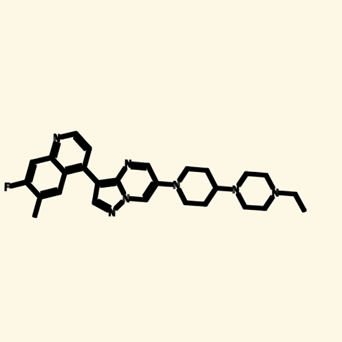 CCN1CCN(C2CCN(c3cnc4c(-c5ccnc6cc(F)c(C)cc56)cnn4c3)CC2)CC1